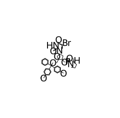 COc1ccc(C(OCC2OC(n3cc(Br)c(=O)[nH]c3=O)CC2O[P@]2OC[C@H]3CCCN32)(c2ccccc2)c2ccc(OC)cc2)cc1